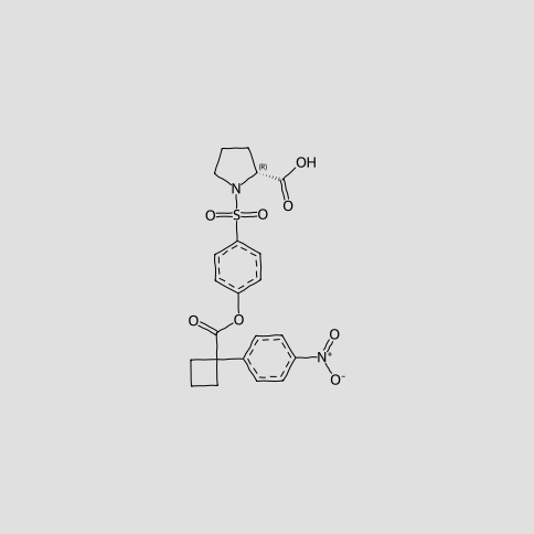 O=C(O)[C@H]1CCCN1S(=O)(=O)c1ccc(OC(=O)C2(c3ccc([N+](=O)[O-])cc3)CCC2)cc1